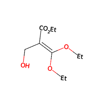 CCOC(=O)C(CO)=C(OCC)OCC